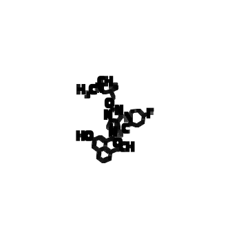 C#Cc1cccc2cc(O)cc(C(=O)N3Cc4nc(OCC5(CN(C)C)CC5)nc(N5CCC(F)CC[C@H]5C)c4C3)c12